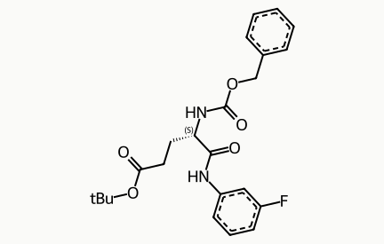 CC(C)(C)OC(=O)CC[C@H](NC(=O)OCc1ccccc1)C(=O)Nc1cccc(F)c1